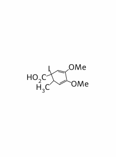 COC1=CC(C)C(I)(C(=O)O)C=C1OC